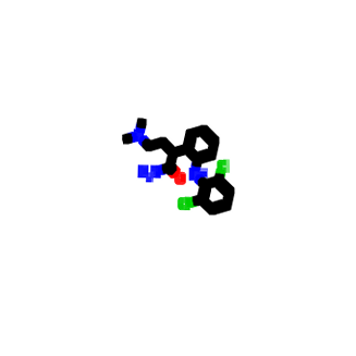 CN(C)CCC(C(N)=O)c1ccccc1Nc1c(Cl)cccc1Cl